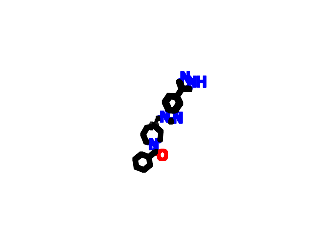 O=C(C1CCCCC1)N1CCC[C@H](Cn2cnc3cc(-c4cn[nH]c4)ccc32)CC1